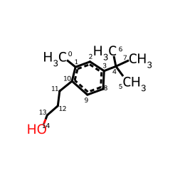 Cc1cc(C(C)(C)C)ccc1CCCO